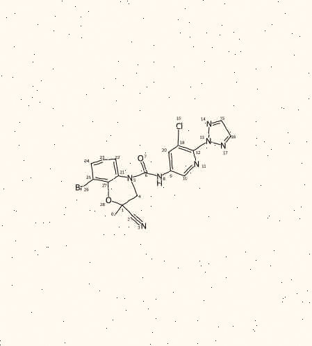 CC1(C#N)CN(C(=O)Nc2cnc(-n3nccn3)c(Cl)c2)c2cccc(Br)c2O1